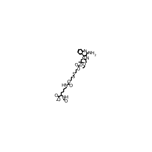 CCOCc1nc2c(N)nc3ccccc3c2n1CC(C)(C)OC(=O)OCCSSCCOC(=O)NCCCCC(NC=O)C(=O)OC